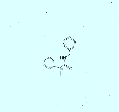 C[C@@H](C(=O)NCc1ccccc1)c1ccccc1